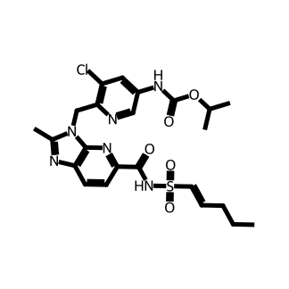 CCC/C=C/S(=O)(=O)NC(=O)c1ccc2nc(C)n(Cc3ncc(NC(=O)OC(C)C)cc3Cl)c2n1